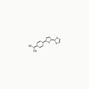 N#CC(C#N)=c1ccc(=c2ccc(=C3SC=CS3)s2)cc1